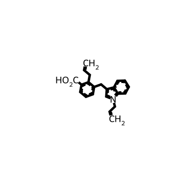 C=CCc1c(Cc2cn(CC=C)c3ccccc23)cccc1C(=O)O